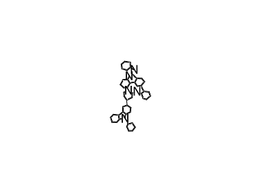 c1ccc(-n2c3ccccc3c3cc(-c4ccnc(-n5c6ccccc6c6ccc7c(c8ccccc8n8c9ccccc9nc78)c65)c4)ccc32)cc1